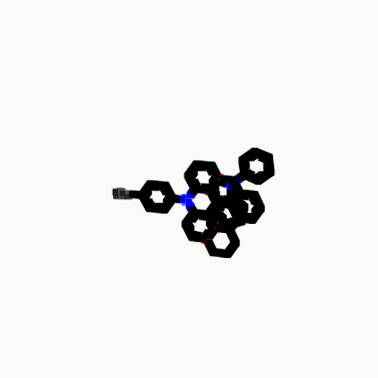 CC(C)(C)c1ccc(N(c2ccccc2-c2cccc3cccc(C4CCCCC4)c23)c2cccc3c2c2ccccc2n3-c2ccccc2)cc1